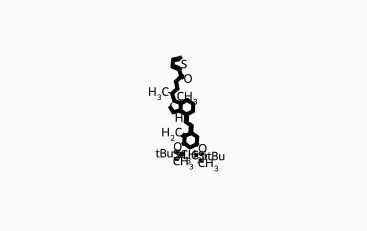 C=C1/C(=C\C=C2/CCC[C@]3(C)[C@@H]([C@H](C)CCC(=O)c4cccs4)CC[C@@H]23)CC(O[Si](C)(C)C(C)(C)C)CC1O[Si](C)(C)C(C)(C)C